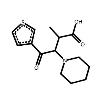 CC(C(=O)O)C(C(=O)c1ccsc1)N1CCCCC1